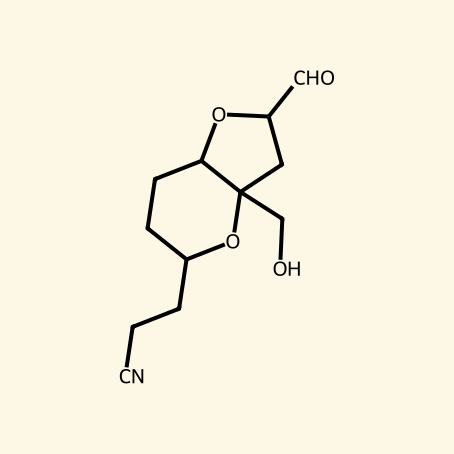 N#CCCC1CCC2OC(C=O)CC2(CO)O1